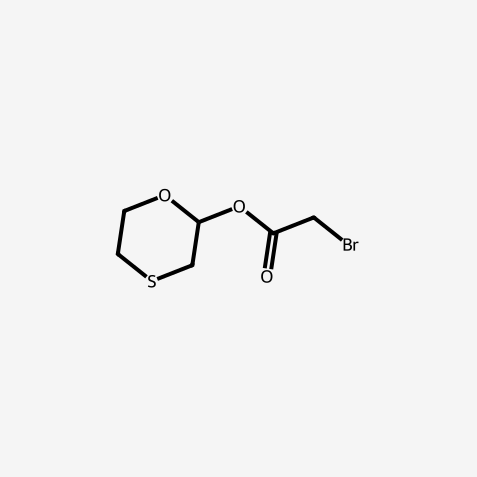 O=C(CBr)OC1CSCCO1